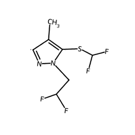 Cc1[c]nn(CC(F)F)c1SC(F)F